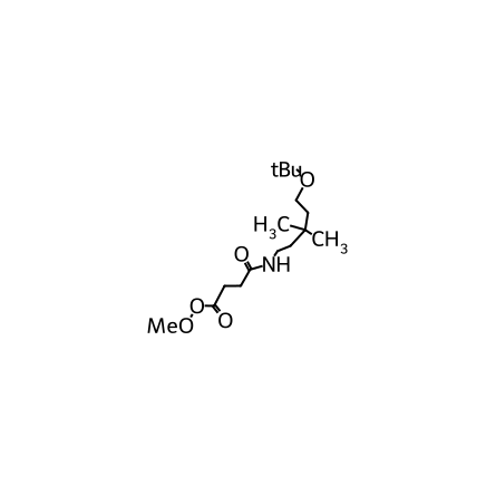 COOC(=O)CCC(=O)NCCC(C)(C)CCOC(C)(C)C